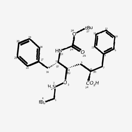 CC(C)(C)C[SiH2]O[C@@H](C[C@@H](Cc1ccccc1)C(=O)O)[C@H](Cc1ccccc1)NC(=O)OC(C)(C)C